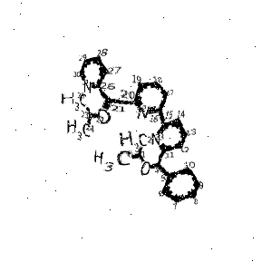 CC(C)OC(c1ccccc1)c1cccc(-c2cccc(C(OC(C)C)c3ccccn3)n2)n1